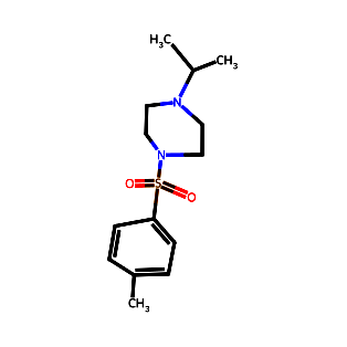 Cc1ccc(S(=O)(=O)N2CCN(C(C)C)CC2)cc1